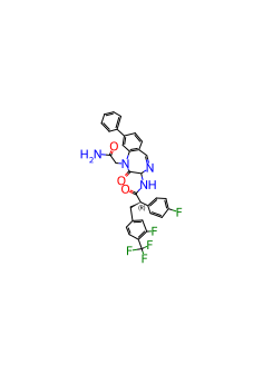 NC(=O)CN1C(=O)C(NC(=O)[C@H](Cc2ccc(C(F)(F)F)c(F)c2)c2ccc(F)cc2)N=Cc2ccc(-c3ccccc3)cc21